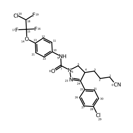 N#CCCCC1CN(C(=O)Nc2ccc(OC(F)(F)C(F)Cl)cc2)N=C1c1ccc(Cl)cc1